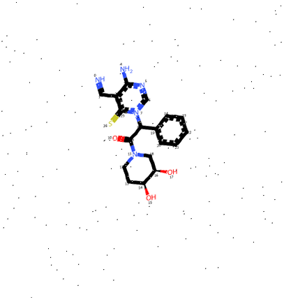 N=Cc1c(N)ncn(C(C(=O)N2CC[C@H](O)[C@H](O)C2)c2ccccc2)c1=S